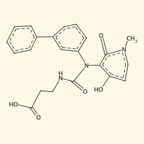 Cn1ccc(O)c(N(C(=O)NCCC(=O)O)c2cccc(-c3ccccc3)c2)c1=O